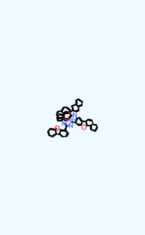 c1ccc2cc3c(cc2c1)c1cc2ccccc2cc1n3-c1cc2c(cc1C1=NC(c3cccc4c3oc3ccccc34)=NC(c3cccc4ccccc34)N1)oc1c3ccccc3ccc21